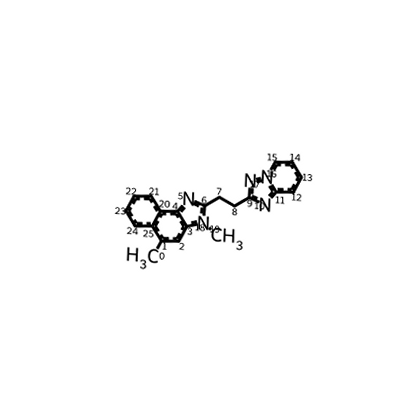 Cc1cc2c(nc(CCc3nc4ccccn4n3)n2C)c2ccccc12